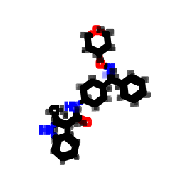 Cc1[nH]c2ccccc2c1C(=O)N[C@H]1CC[C@H](/C(=N\OC2CCOCC2)c2ccccc2)CC1